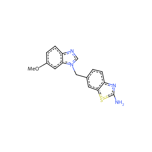 COc1ccc2ncn(Cc3ccc4nc(N)sc4c3)c2c1